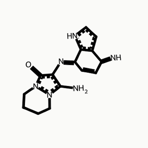 N=C1C=CC(=Nc2c(N)n3n(c2=O)CCCC3)c2[nH]ccc21